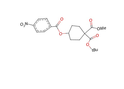 COC(=O)C1(C(=O)OC(C)(C)C)CCC(OC(=O)c2ccc([N+](=O)[O-])cc2)CC1